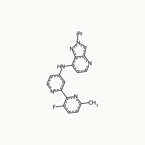 Cc1ccc(F)c(-c2cc(Nc3ccnc4cn(C(C)C)nc34)ccn2)n1